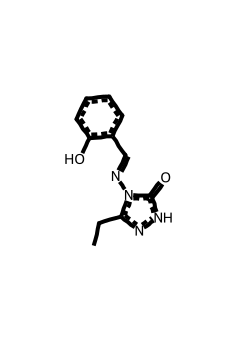 CCc1n[nH]c(=O)n1/N=C/c1ccccc1O